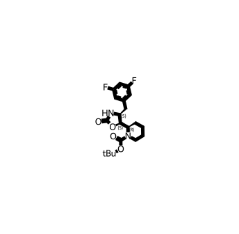 CC(C)(C)OC(=O)N1CCCC[C@@H]1[C@H]1OC(=O)N[C@H]1Cc1cc(F)cc(F)c1